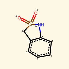 O=S1(=O)[CH]c2ccccc2N1